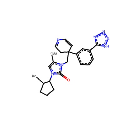 CCCCc1cn(C2CCCC2C(C)=O)c(=O)n1CC1(c2cccc(-c3nnn[nH]3)c2)C=CN=CC1